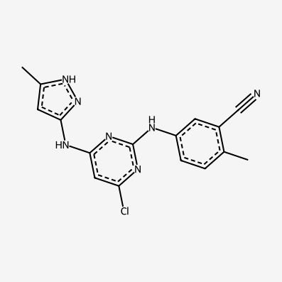 Cc1cc(Nc2cc(Cl)nc(Nc3ccc(C)c(C#N)c3)n2)n[nH]1